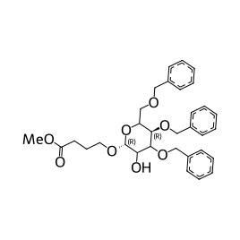 COC(=O)CCCO[C@@H]1OC(COCc2ccccc2)[C@@H](OCc2ccccc2)C(OCc2ccccc2)C1O